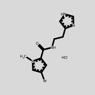 Cl.Cn1cc(Br)cc1C(=O)NCCc1c[nH]cn1